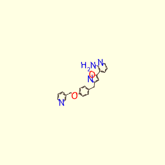 Nc1ncccc1-c1cc(Cc2ccc(OCc3cccnc3)cc2)no1